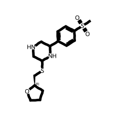 CS(=O)(=O)c1ccc(C2CNCC(SC[C@H]3CCCO3)N2)cc1